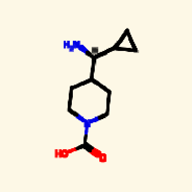 N[C@@H](C1CC1)C1CCN(C(=O)O)CC1